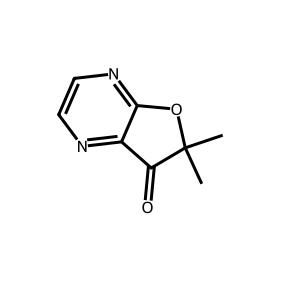 CC1(C)Oc2nccnc2C1=O